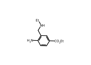 CCNCc1cc(C(=O)OCC)ccc1N